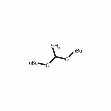 CCCCOC([SiH3])OCCCC